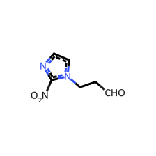 O=CCCn1ccnc1[N+](=O)[O-]